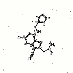 C[C@H](N)Cc1sc2c(NCc3cccs3)cc(Cl)nc2c1C#N